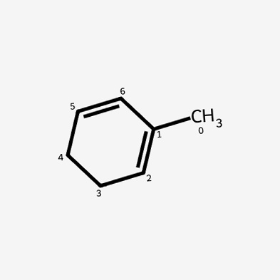 CC1=C[CH]CC=C1